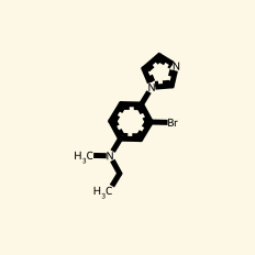 CCN(C)c1ccc(-n2ccnc2)c(Br)c1